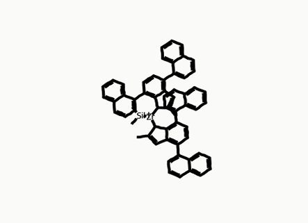 CC1=Cc2c(-c3cccc4ccccc34)ccc(-c3cccc4ccccc34)c2[CH]1[Zr]([CH]1C(C)=Cc2c(-c3cccc4ccccc34)ccc(-c3cccc4ccccc34)c21)[SiH](C)C